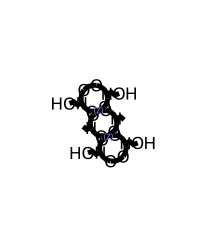 CCN1CCO/C2=C(\OCCN(CC)CCO/C3=C(\OCC1)OCCN(CCO)CCOCCOCCN(CCO)CCO3)OCCN(CCO)CCOCCOCCN(CCO)CCO2